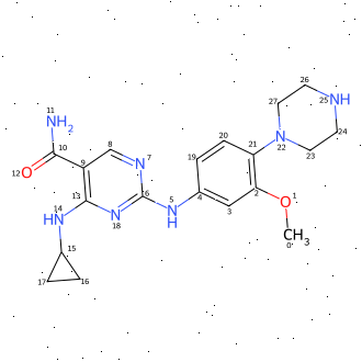 COc1cc(Nc2ncc(C(N)=O)c(NC3CC3)n2)ccc1N1CCNCC1